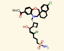 COC(=O)c1ccc2c(c1)N(C[C@@H]1CC[C@H]1[C@H](O)/C=C(\Br)CCCS(N)(=O)=O)CC1(CCCc3cc(Cl)ccc31)CO2